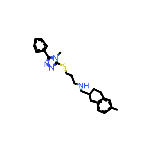 Cc1ccc2c(c1)CCC(CNCCCSc1nnc(-c3ccccc3)n1C)C2